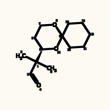 CC(C)(C=O)[C@@H]1CCOC2(CCCCC2)O1